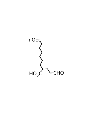 CCCCCCCCCCCCCCC(CCC=O)C(=O)O